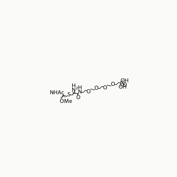 COC[C@H](CSC[C@H](N)C(=O)NCCOCCOCCOCCOCCP(=O)(O)O)NC(C)=O